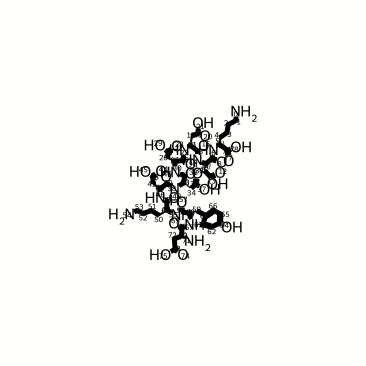 NCCCC[C@H](NC(=O)[C@H](CC(=O)O)NC(=O)[C@H](CC(=O)O)NC(=O)[C@H](CC(=O)O)NC(=O)[C@H](CC(=O)O)NC(=O)[C@H](CC(=O)O)NC(=O)[C@H](CCCCN)NC(=O)[C@H](Cc1ccc(O)cc1)NC(=O)[C@@H](N)CC(=O)O)C(=O)O